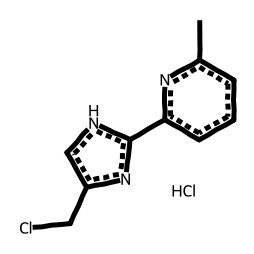 Cc1cccc(-c2nc(CCl)c[nH]2)n1.Cl